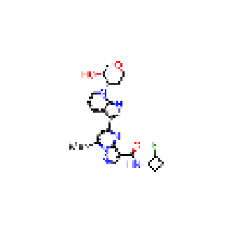 CNc1cc(-c2cnc3n([C@H]4CCOC[C@@H]4O)cccc2-3)nc2c(C(=O)NC3CC[C@@H]3F)cnn12